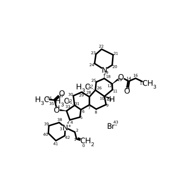 C=CC[N+]1([C@H]2CC3C4CC[C@H]5C[C@H](OC(=O)CC)[C@@H](N6CCCCC6)C[C@]5(C)C4CC[C@]3(C)[C@@H]2OC(C)=O)CCCCC1.[Br-]